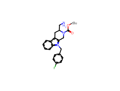 CC(C)(C)OC(=O)N1Cc2c(c3ccccc3n2Cc2ccc(F)cc2)CC1CN